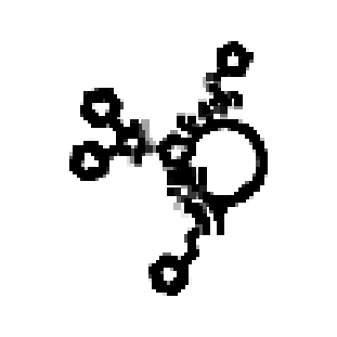 O=C(N[C@H]1CCCCC/C=C\C2C[C@@]2(C(=O)NCCc2ccccc2)NC(=O)[C@@H]2C[C@@H](n3nc(-c4ccccc4)c(-c4ccccc4)n3)CN2C1=O)OC1CCCC1